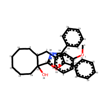 COc1cccc(CC2CCCCCCC2(O)c2nc(-c3ccccc3)c(-c3ccccc3)o2)c1